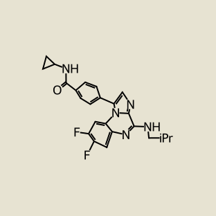 CC(C)CNc1nc2cc(F)c(F)cc2n2c(-c3ccc(C(=O)NC4CC4)cc3)cnc12